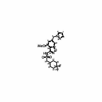 COc1cc(Cn2cccn2)cc2onc(NS(=O)(=O)CC3CCC(F)(F)CC3)c12